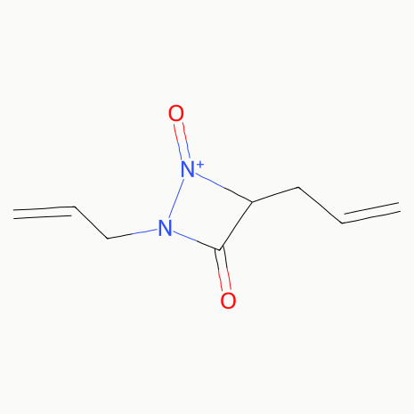 C=CCC1C(=O)N(CC=C)[N+]1=O